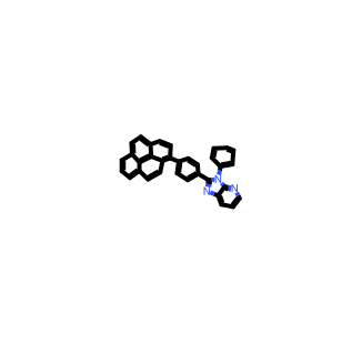 c1ccc(-n2c(-c3ccc(-c4ccc5ccc6cccc7ccc4c5c67)cc3)nc3cccnc32)cc1